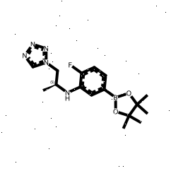 C[C@@H](Cn1cnnn1)Nc1cc(B2OC(C)(C)C(C)(C)O2)ccc1F